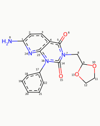 Nc1ccc2c(=O)n(CC3OCCO3)c(=O)n(-c3ccccc3)c2n1